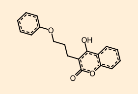 O=c1oc2ccccc2c(O)c1CCCOc1ccccc1